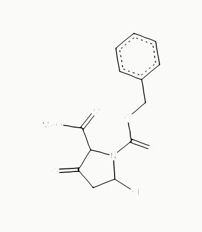 COC(=O)C1C(=O)CC(C)N1C(=O)OCc1ccccc1